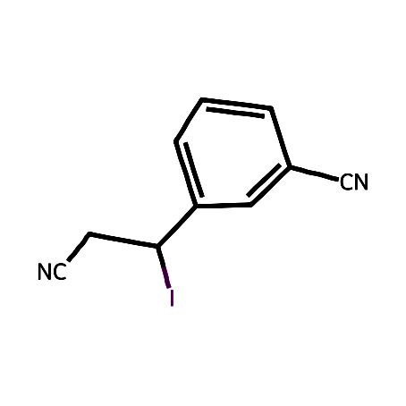 N#CCC(I)c1cccc(C#N)c1